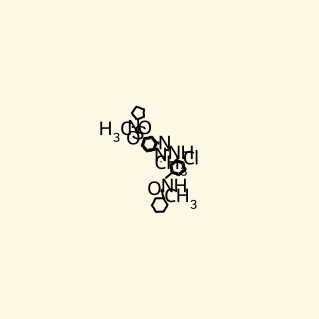 CN(C1CCCC1)S(=O)(=O)c1ccc2c(c1)nc(Nc1cc(CNC(=O)C3(C)CCCCC3)ccc1Cl)n2C